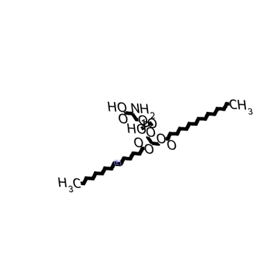 CCCCCCCC/C=C/CCCCC(=O)OC(COC(=O)CCCCCCCCCCCCCC)COP(=O)(O)OCC(N)C(=O)O